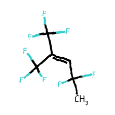 CC(F)(F)C=C(C(F)(F)F)C(F)(F)F